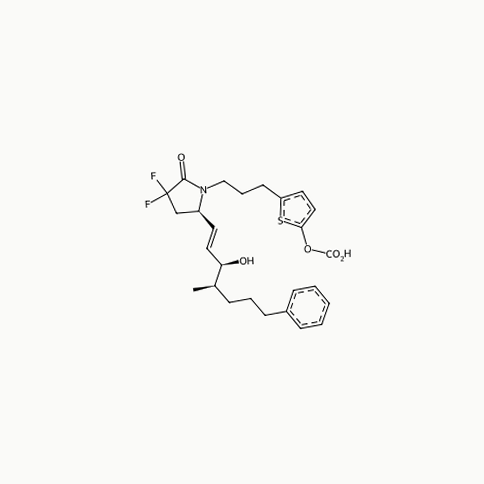 C[C@H](CCCc1ccccc1)[C@H](O)/C=C/[C@H]1CC(F)(F)C(=O)N1CCCc1ccc(OC(=O)O)s1